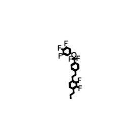 CCCc1ccc(CCc2ccc(C(F)(F)Oc3cc(F)c(F)c(F)c3)cc2)c(F)c1F